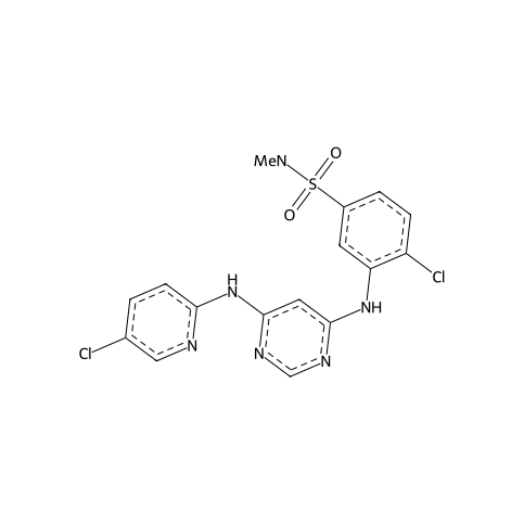 CNS(=O)(=O)c1ccc(Cl)c(Nc2cc(Nc3ccc(Cl)cn3)ncn2)c1